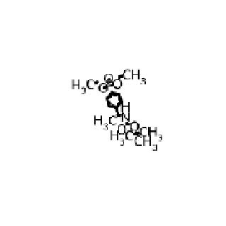 CCOP(=O)(OCC)c1ccc(C(C)NC(=O)OC(C)(C)C)cc1